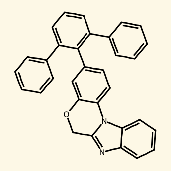 c1ccc(-c2cccc(-c3ccccc3)c2-c2ccc3c(c2)OCc2nc4ccccc4n2-3)cc1